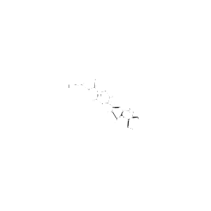 CC=C1C(=O)Nc2cc(C3CCN(C(C)CCC(C)C)CC3)ccc21